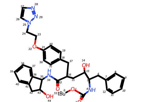 CC(C)(C)OC(=O)NC(Cc1ccccc1)C(O)CC(Cc1ccc(OCCn2ccnn2)cc1)C(=O)NC1c2ccccc2CC1O